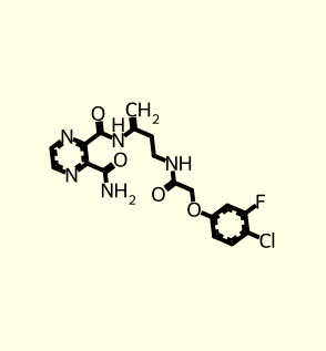 C=C(CCNC(=O)COc1ccc(Cl)c(F)c1)NC(=O)c1nccnc1C(N)=O